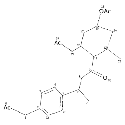 CC(=O)Cc1ccc(C(C)CC(=O)C2C(C)CC(OC(C)=O)CC2CC(C)=O)cc1